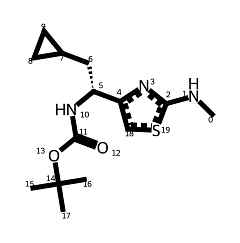 CNc1nc([C@@H](CC2CC2)NC(=O)OC(C)(C)C)cs1